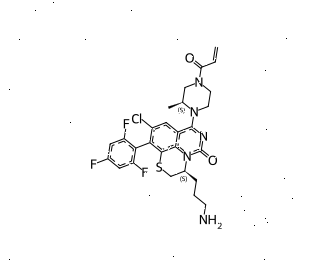 C=CC(=O)N1CCN(c2nc(=O)n3c4c(c(-c5c(F)cc(F)cc5F)c(Cl)cc24)SC[C@@H]3CCCN)[C@@H](C)C1